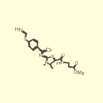 COC(=O)CCNC(=O)C1SC(=NC(=O)c2ccc(SC=N)cc2)N(C)C1C